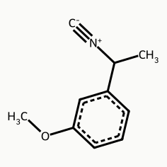 [C-]#[N+]C(C)c1cccc(OC)c1